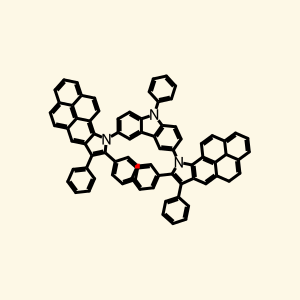 C1=CC2=CCc3cc4c(-c5ccccc5)c(-c5ccccc5)n(-c5ccc6c(c5)c5cc(-n7c(-c8ccccc8)c(-c8ccccc8)c8cc9ccc%10cccc%11ccc(c9c%10%11)c87)ccc5n6-c5ccccc5)c4c4c3C2C(=C1)C=C4